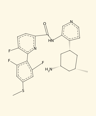 CSc1cc(F)c(-c2nc(C(=O)Nc3cnccc3[C@@H]3C[C@H](C)C[C@H](N)C3)ccc2F)c(F)c1